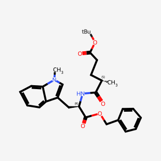 C[C@@H](CCC(=O)OC(C)(C)C)C(=O)N[C@H](Cc1cn(C)c2ccccc12)C(=O)OCc1ccccc1